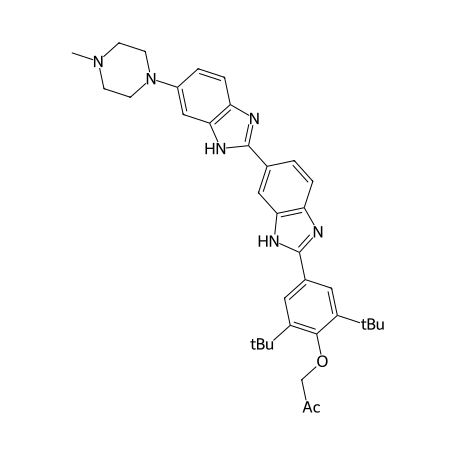 CC(=O)COc1c(C(C)(C)C)cc(-c2nc3ccc(-c4nc5ccc(N6CCN(C)CC6)cc5[nH]4)cc3[nH]2)cc1C(C)(C)C